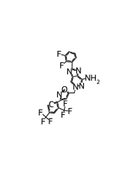 Nc1nn(Cc2cc(-c3ccc(C(F)(F)F)cc3C(F)(F)F)no2)cc2nc(-c3cccc(F)c3F)nc1-2